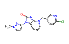 Cn1ccc(-n2c3cccn(Cc4ccc(Cl)nc4)c-3nc2=O)n1